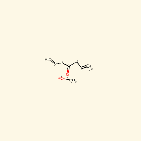 C=CCC(=O)CC=C.CO